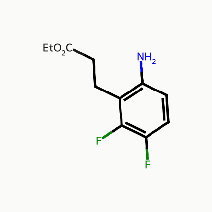 CCOC(=O)CCc1c(N)ccc(F)c1F